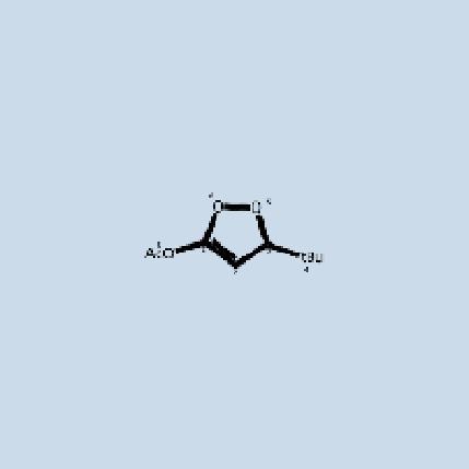 CC(=O)OC1=CC(C(C)(C)C)OO1